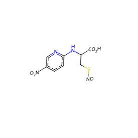 O=NSCC(Nc1ccc([N+](=O)[O-])cn1)C(=O)O